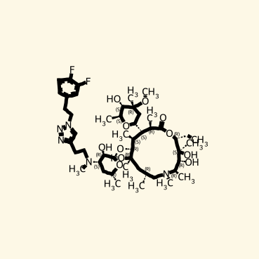 CC[C@H]1OC(=O)[C@H](C)[C@@H](C2C[C@@](C)(OC)[C@@H](O)[C@H](C)O2)[C@H](C)[C@@H](O[C@@H]2O[C@H](C)C[C@H](N(C)CCc3cn(CCc4ccc(F)c(F)c4)nn3)[C@H]2O)[C@](C)(O)C[C@@H](C)CN(C)[C@H](C)[C@@H](O)[C@]1(C)O